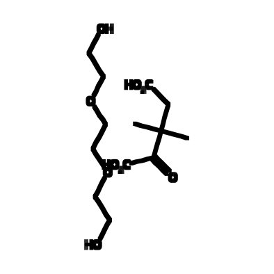 CC(C)(CC(=O)O)C(=O)C(=O)O.OCCOCCOCCO